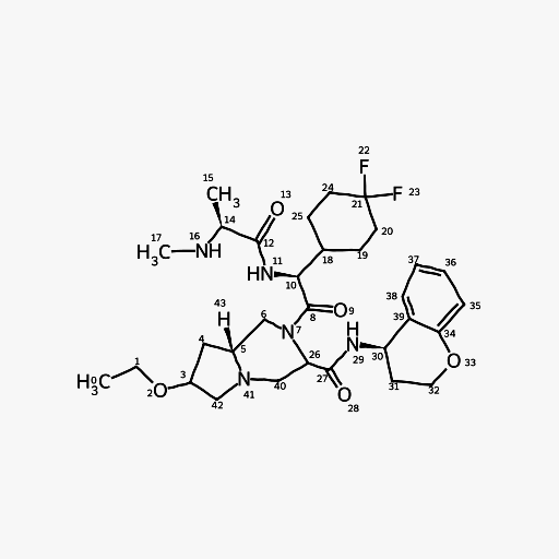 CCOC1C[C@@H]2CN(C(=O)[C@@H](NC(=O)[C@H](C)NC)C3CCC(F)(F)CC3)C(C(=O)N[C@@H]3CCOc4ccccc43)CN2C1